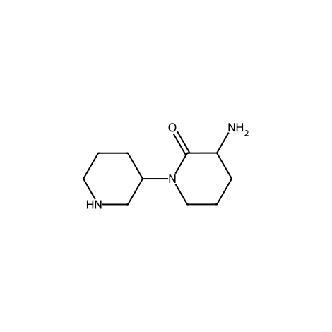 NC1CCCN(C2CCCNC2)C1=O